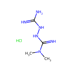 CN(C)C(=N)NNC(=N)N.Cl